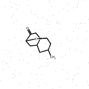 CC1CC2CC3CC(C1)N2CC3=O